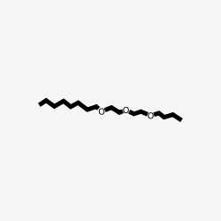 CCCCCCCCOCCOCCOCCCC